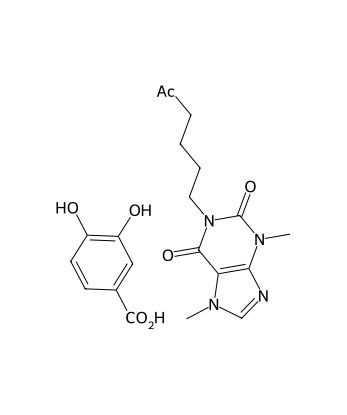 CC(=O)CCCCn1c(=O)c2c(ncn2C)n(C)c1=O.O=C(O)c1ccc(O)c(O)c1